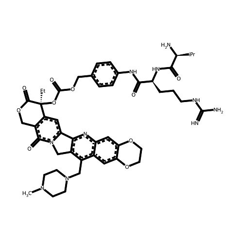 CC[C@@]1(OC(=O)OCc2ccc(NC(=O)[C@H](CCCNC(=N)N)NC(=O)[C@@H](N)C(C)C)cc2)C(=O)OCc2c1cc1n(c2=O)Cc2c-1nc1cc3c(cc1c2CN1CCN(C)CC1)OCCO3